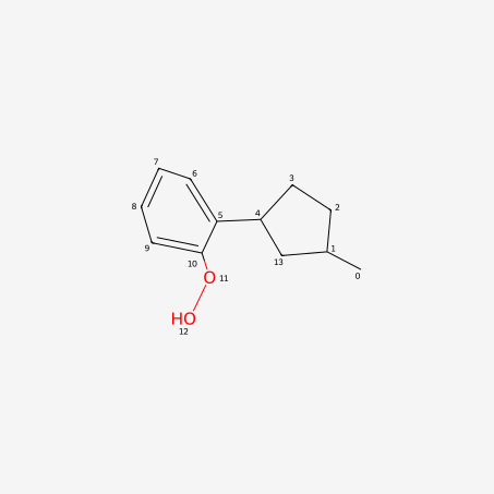 CC1CCC(c2ccccc2OO)C1